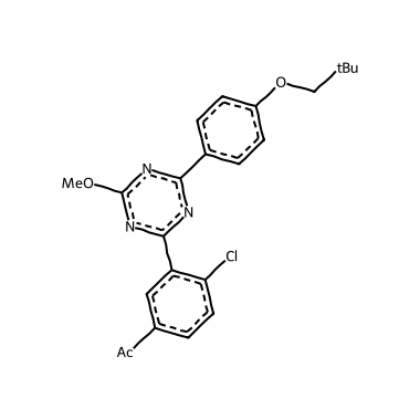 COc1nc(-c2ccc(OCC(C)(C)C)cc2)nc(-c2cc(C(C)=O)ccc2Cl)n1